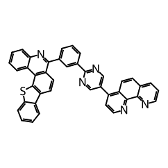 c1cc(-c2ncc(-c3ccnc4c3ccc3cccnc34)cn2)cc(-c2nc3ccccc3c3c2ccc2c4ccccc4sc23)c1